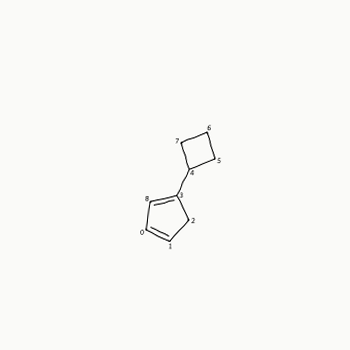 C1=CCC(C2CCC2)=C1